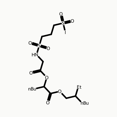 CCCCC(CC)COC(=O)C(CCCC)OC(=O)CNS(=O)(=O)CCCS(=O)(=O)I